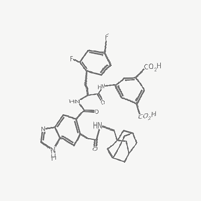 O=C(O)c1cc(NC(=O)C(Cc2ccc(F)cc2F)NC(=O)c2cc3nc[nH]c3cc2C(=O)NCC23CC4CC(CC(C4)C2)C3)cc(C(=O)O)c1